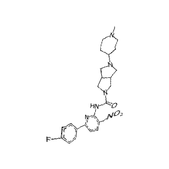 CN1CCC(N2CC3CN(C(=O)Nc4nc(-c5ccc(F)cc5)ccc4[N+](=O)[O-])CC3C2)CC1